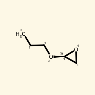 CCCO[C@@H]1CO1